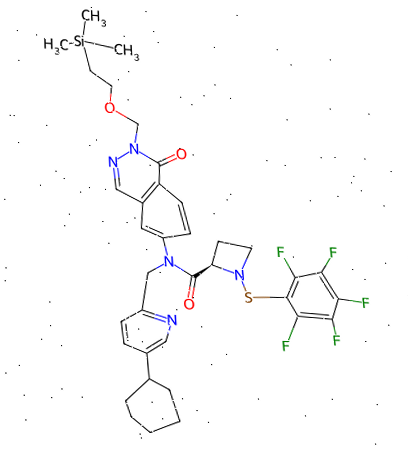 C[Si](C)(C)CCOCn1ncc2cc(N(Cc3ccc(C4CCCCC4)cn3)C(=O)[C@H]3CCN3Sc3c(F)c(F)c(F)c(F)c3F)ccc2c1=O